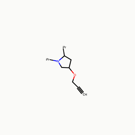 C#CCOC1CC(C(C)C)N(C(C)C)C1